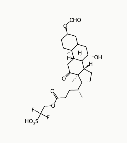 C[C@H](CCC(=O)OCC(F)(F)S(=O)(=O)O)[C@H]1CC[C@H]2[C@@H]3[C@@H](O)CC4C[C@H](OC=O)CC[C@]4(C)[C@H]3CC(=O)[C@]12C